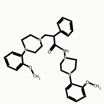 COc1ccccc1N1CCN(CC(C(=O)NN2CCN(c3ccccc3OC)CC2)c2ccccc2)CC1